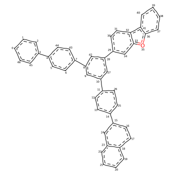 c1ccc(-c2ccc(-c3cc(-c4ccc(-c5ccc6ccccc6c5)cc4)cc(-c4ccc5c(c4)oc4ccccc45)c3)cc2)cc1